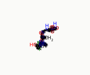 C#Cc1c(F)ccc2cc(O)cc(-c3ncc4c(N5CC6CCC(C5)N6)nc(OC[C@@]56CC[C@@H](COC(=O)N7CC(CCNc8ccc9c(c8)C(=O)N(C8CCC(=O)NC8=O)C9=O)C7)N5CC(=C)C6)nc4c3F)c12